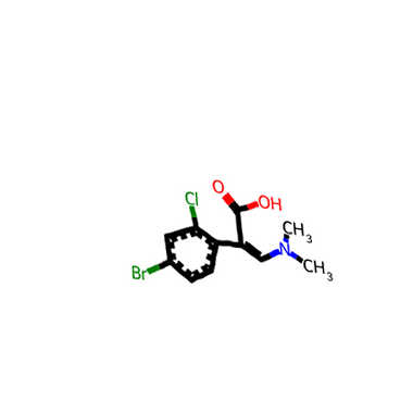 CN(C)C=C(C(=O)O)c1ccc(Br)cc1Cl